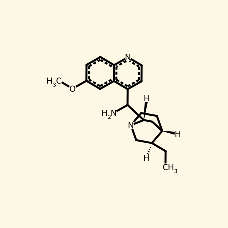 CC[C@H]1CN2CC[C@H]1C[C@H]2C(N)c1ccnc2ccc(OC)cc12